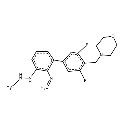 C=Nc1c(NNC)cccc1-c1cc(F)c(CN2CCOCC2)c(F)c1